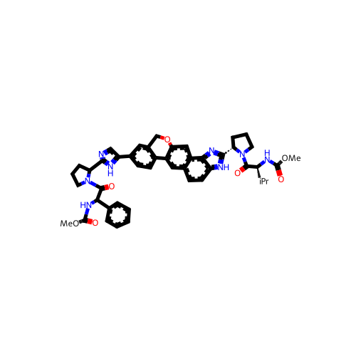 COC(=O)NC(C(=O)N1CCCC1c1ncc(-c2ccc3c(c2)COc2cc4c(ccc5[nH]c([C@@H]6CCCN6C(=O)[C@@H](NC(=O)OC)C(C)C)nc54)cc2-3)[nH]1)c1ccccc1